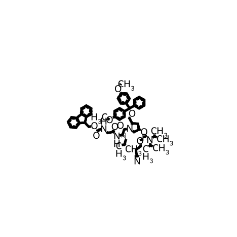 COc1ccc(C(OCC2CC(OP(OCCC#N)N(C(C)C)C(C)C)CN2C(=O)[C@H](CC(C)C)NC(=O)CNC(=O)OCC2c3ccccc3-c3ccccc32)(c2ccccc2)c2ccc(OC)cc2)cc1